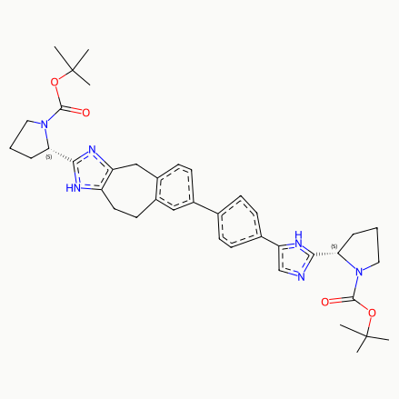 CC(C)(C)OC(=O)N1CCC[C@H]1c1ncc(-c2ccc(-c3ccc4c(c3)CCc3[nH]c([C@@H]5CCCN5C(=O)OC(C)(C)C)nc3C4)cc2)[nH]1